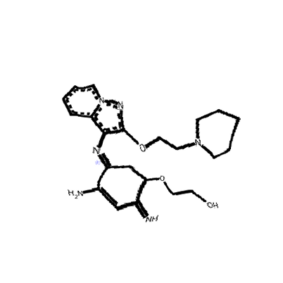 N=C1C=C(N)/C(=N/c2c(OCCN3CCCCC3)nn3ccccc23)CC1OCCO